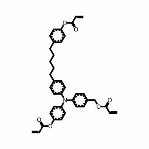 C=CC(=O)OCc1ccc(N(c2ccc(CCCCCc3ccc(OC(=O)C=C)cc3)cc2)c2ccc(OC(=O)C=C)cc2)cc1